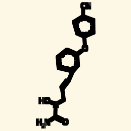 N#Cc1ccc(Oc2cccc(/C=C/CN(O)C(N)=O)c2)cc1